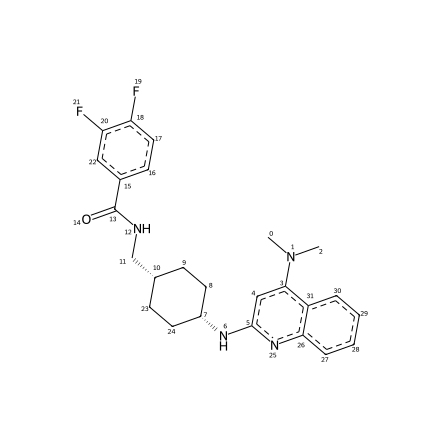 CN(C)c1cc(N[C@H]2CC[C@@H](CNC(=O)c3ccc(F)c(F)c3)CC2)nc2ccccc12